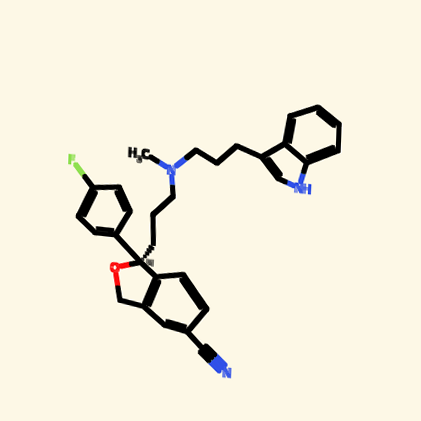 CN(CCCc1c[nH]c2ccccc12)CCC[C@@]1(c2ccc(F)cc2)OCc2cc(C#N)ccc21